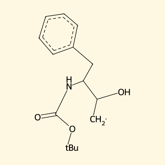 [CH2]C(O)C(Cc1ccccc1)NC(=O)OC(C)(C)C